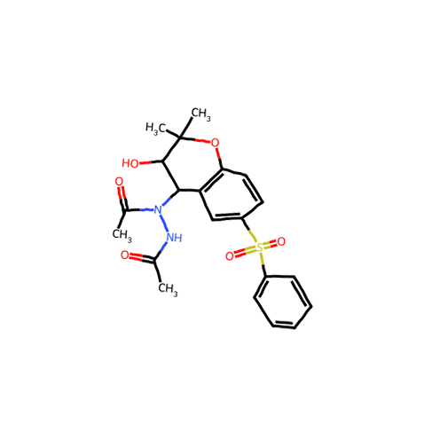 CC(=O)NN(C(C)=O)C1c2cc(S(=O)(=O)c3ccccc3)ccc2OC(C)(C)C1O